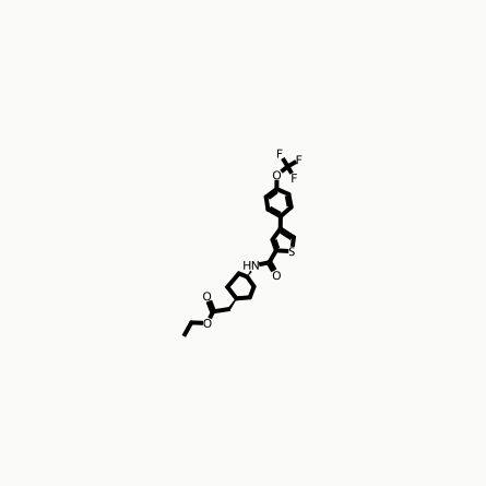 CCOC(=O)C[C@H]1CC[C@H](NC(=O)c2cc(-c3ccc(OC(F)(F)F)cc3)cs2)CC1